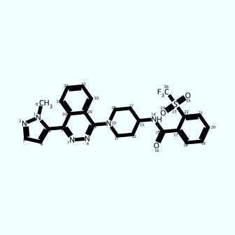 Cn1nccc1-c1nnc(N2CCC(NC(=O)c3ccccc3S(=O)(=O)C(F)(F)F)CC2)c2ccccc12